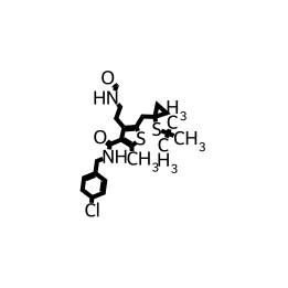 Cc1sc(CC2(SC(C)(C)C)CC2)c(CCNC=O)c1C(=O)NCC1=CCC(Cl)C=C1